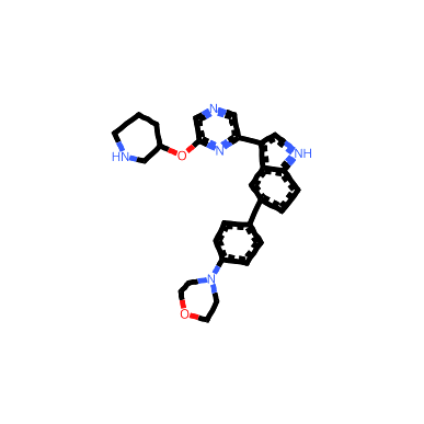 c1cc(N2CCOCC2)ccc1-c1ccc2[nH]cc(-c3cncc(OC4CCCNC4)n3)c2c1